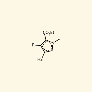 CCOC(=O)c1c(F)c(S)cn1C